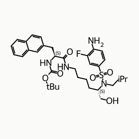 CC(C)CN([C@H](CO)CCCCNC(=O)[C@H](Cc1ccc2ccccc2c1)NC(=O)OC(C)(C)C)S(=O)(=O)c1ccc(N)c(F)c1